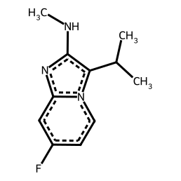 CNc1nc2cc(F)ccn2c1C(C)C